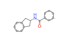 O=C(NC1Cc2ccccc2C1)c1c[c]ccc1